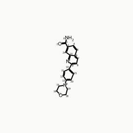 NC(=O)c1ccc2ccc(-c3ccc(N4CCOCC4)cc3)nc2c1